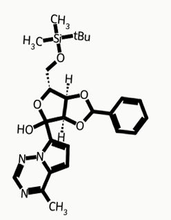 Cc1ncnn2c(C3(O)O[C@H](CO[Si](C)(C)C(C)(C)C)[C@H]4OC(c5ccccc5)O[C@H]43)ccc12